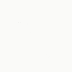 CCOC(=O)C=C(C)C=CCC(C)CCC(Cl)C(C)(C)Cl